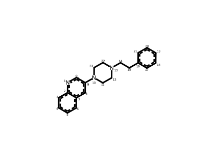 [c]1nc2ccccc2cc1N1CCN(CCc2ccccc2)CC1